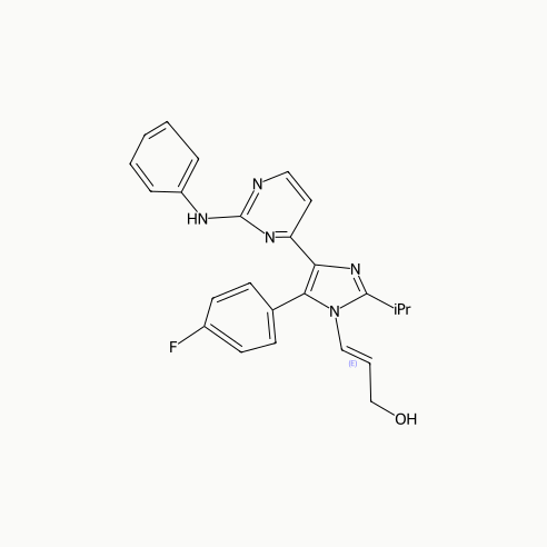 CC(C)c1nc(-c2ccnc(Nc3ccccc3)n2)c(-c2ccc(F)cc2)n1/C=C/CO